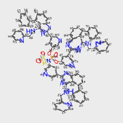 O=[SH](=O)N(c1cncc(-c2nc(NCc3ccccn3)c3c(-c4ccccc4)cccc3n2)c1)P(=O)(Oc1cncc(-c2nc(NCc3ccccn3)c3c(-c4ccccc4)cccc3n2)c1)Oc1cncc(-c2nc(NCc3ccccn3)c3c(-c4ccccc4)cccc3n2)c1